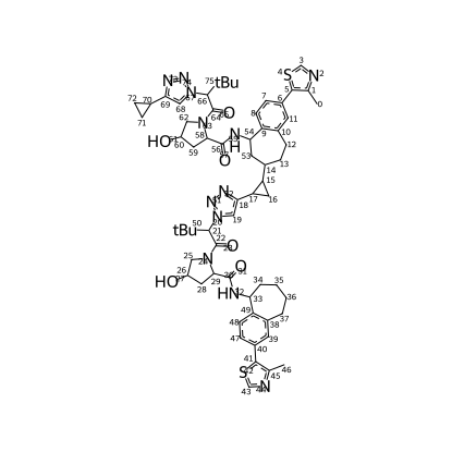 Cc1ncsc1-c1ccc2c(c1)CCC(C1CC1c1cn(C(C(=O)N3CC(O)CC3C(=O)NC3CCCCc4cc(-c5scnc5C)ccc43)C(C)(C)C)nn1)CC2NC(=O)C1CC(O)CN1C(=O)C(n1cc(C2CC2)nn1)C(C)(C)C